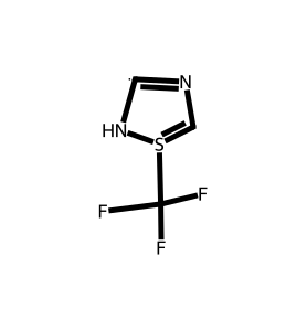 FC(F)(F)S1=CN=[C]N1